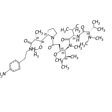 CC[C@H](C)[C@@H]([C@H](CC(=O)N1CCC[C@H]1[C@H](OC)[C@@H](C)C(=O)NCCc1ccc(N)cc1)OC)N(C)C(=O)[C@@H](NC(=O)[C@H](C(C)C)N(C)C)C(C)C